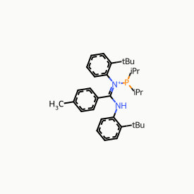 Cc1ccc(C(Nc2ccccc2C(C)(C)C)=[N+](c2ccccc2C(C)(C)C)P(C(C)C)C(C)C)cc1